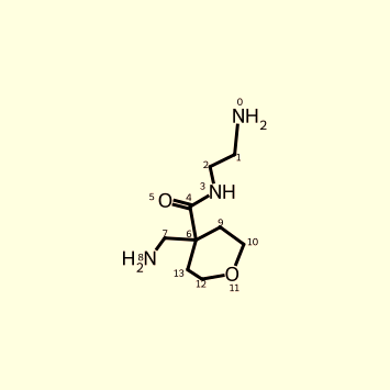 NCCNC(=O)C1(CN)CCOCC1